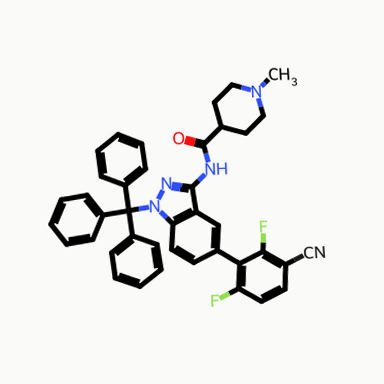 CN1CCC(C(=O)Nc2nn(C(c3ccccc3)(c3ccccc3)c3ccccc3)c3ccc(-c4c(F)ccc(C#N)c4F)cc23)CC1